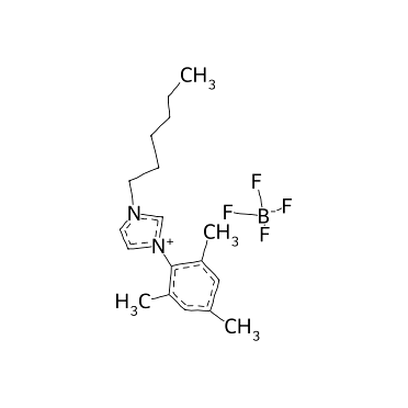 CCCCCCn1cc[n+](-c2c(C)cc(C)cc2C)c1.F[B-](F)(F)F